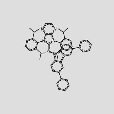 CC(C)c1cccc(C(C)C)c1-n1c(=Nn2c3ccc(-c4ccccc4)cc3c3cc(-c4ccccc4)ccc32)n(-c2c(C(C)C)cccc2C(C)C)c2nccnc21